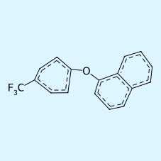 FC(F)(F)c1ccc(Oc2cccc3ccccc23)cc1